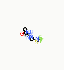 Cc1c(-c2nc3ccc(-c4nc(C(F)(F)F)cs4)cn3n2)[nH]c2ccccc2c1=O